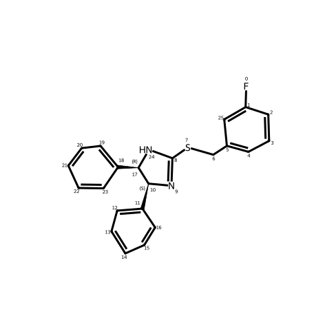 Fc1cccc(CSC2=N[C@@H](c3ccccc3)[C@@H](c3ccccc3)N2)c1